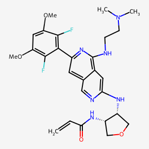 C=CC(=O)N[C@H]1COC[C@H]1Nc1cc2c(NCCN(C)C)nc(-c3c(F)c(OC)cc(OC)c3F)cc2cn1